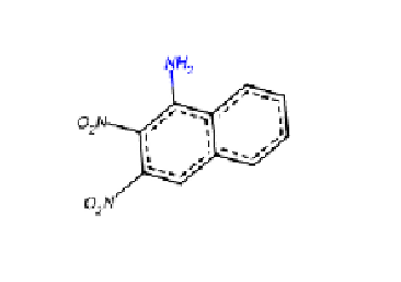 Nc1c([N+](=O)[O-])c([N+](=O)[O-])cc2ccccc12